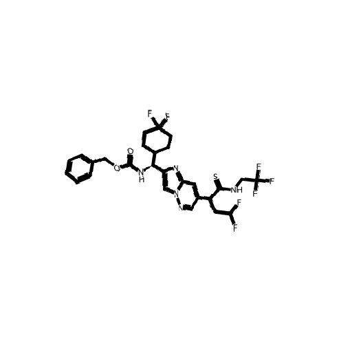 O=C(N[C@H](c1cn2ncc(C(CC(F)F)C(=S)NCC(F)(F)F)cc2n1)C1CCC(F)(F)CC1)OCc1ccccc1